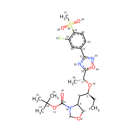 CC[C@@H](CC1COCN1C(=O)OC(C)(C)C)O[C@H](C)c1nc(-c2ccc(S(C)(=O)=O)c(F)c2)no1